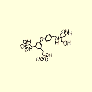 O=P(O)(O)CCc1cc(CCP(=O)(O)O)cc(Oc2ccc(CNC(CO)(CO)CO)cc2)c1